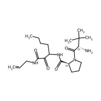 C=CCNC(=O)C(=O)C(CCCC)NC(=O)[C@@H]1CCCN1C(=O)[C@@H](N)C(C)(C)C